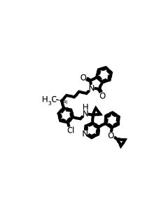 C[C@H](CCCCN1C(=O)c2ccccc2C1=O)c1ccc(Cl)c(CNC2(c3cnccc3-c3ccccc3OC3CC3)CC2)c1